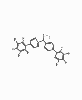 CC(c1ccc(-c2cc(F)c(F)c(F)c2F)cc1)c1ccc(-c2c(F)c(F)c(F)c(F)c2F)cc1